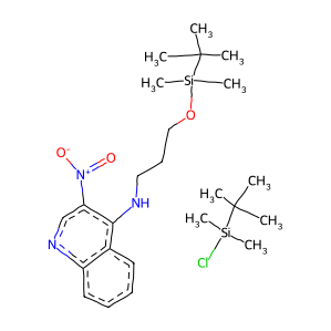 CC(C)(C)[Si](C)(C)Cl.CC(C)(C)[Si](C)(C)OCCCNc1c([N+](=O)[O-])cnc2ccccc12